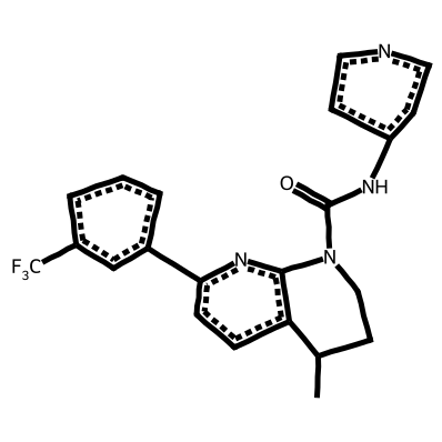 CC1CCN(C(=O)Nc2ccncc2)c2nc(-c3cccc(C(F)(F)F)c3)ccc21